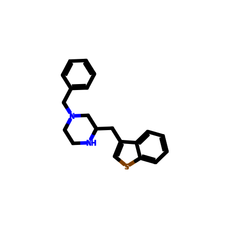 c1ccc(CN2CCNC(Cc3csc4ccccc34)C2)cc1